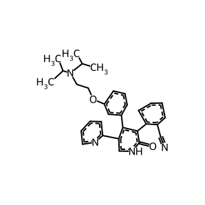 CC(C)N(CCOc1cccc(-c2c(-c3ccccn3)c[nH]c(=O)c2-c2ccccc2C#N)c1)C(C)C